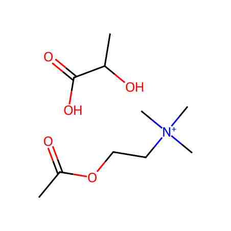 CC(=O)OCC[N+](C)(C)C.CC(O)C(=O)O